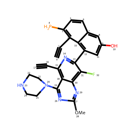 C#Cc1c(P)ccc2cc(O)cc(-c3nc(C#C)c4c(N5CCNCC5)nc(OC)nc4c3F)c12